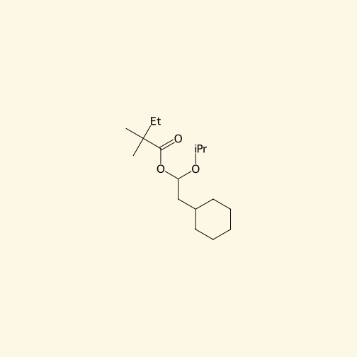 CCC(C)(C)C(=O)OC(CC1CCCCC1)OC(C)C